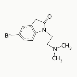 CN(C)CCN1C(=O)Cc2cc(Br)ccc21